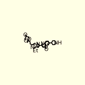 CCc1nc(CCC2(C)OCC(=O)CO2)cn2nc(-c3cc(=O)n4cc(C5CCNCC5)ccc4n3)cc12